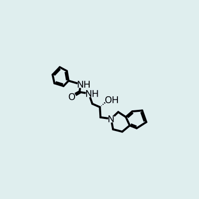 O=C(NC[C@H](O)CN1CCc2ccccc2C1)Nc1ccccc1